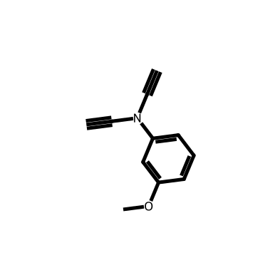 C#CN(C#C)c1cccc(OC)c1